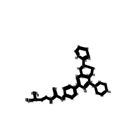 CN(C)CCNC(=O)Nc1ccc(-c2nc3c(c(N4CCOCC4)n2)CCN(c2ncccn2)C3)cc1